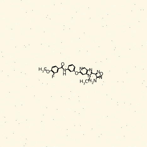 CCn1c(-c2nonc2N)nc2cnc(Oc3cccc(NC(=O)c4ccc(OC)c(F)c4)c3)cc21